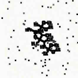 CCCNOC(C)(C(C)PC(CC)(OCC)OCC)C(C)PC(CC)(OCC)OCC